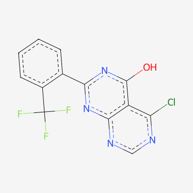 Oc1nc(-c2ccccc2C(F)(F)F)nc2ncnc(Cl)c12